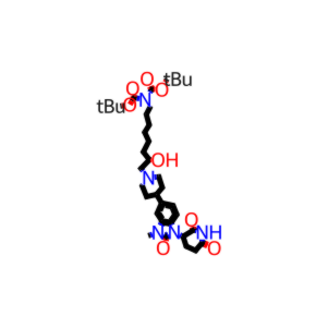 Cn1c(=O)n(C2CCC(=O)NC2=O)c2ccc(C3CCN(CC(O)CCCCCCN(C(=O)OC(C)(C)C)C(=O)OC(C)(C)C)CC3)cc21